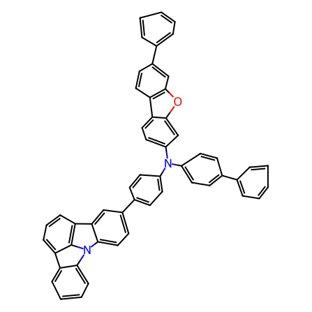 c1ccc(-c2ccc(N(c3ccc(-c4ccc5c(c4)c4cccc6c7ccccc7n5c64)cc3)c3ccc4c(c3)oc3cc(-c5ccccc5)ccc34)cc2)cc1